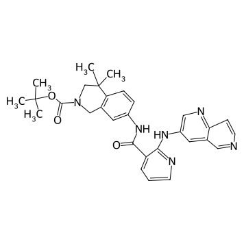 CC(C)(C)OC(=O)N1Cc2cc(NC(=O)c3cccnc3Nc3cnc4ccncc4c3)ccc2C(C)(C)C1